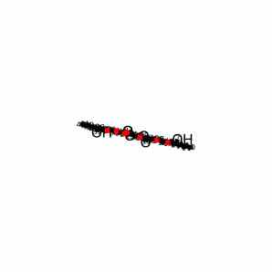 CCCCCCC(O)CCCCCCCCCCC(=O)OCCCCOC(=O)CCCCCCCCCCC(O)CCCCCC